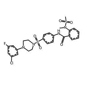 CN(c1ccccc1C(=O)Nc1ccc(S(=O)(=O)N2CCN(c3cc(F)cc(Cl)c3)CC2)cc1)S(C)(=O)=O